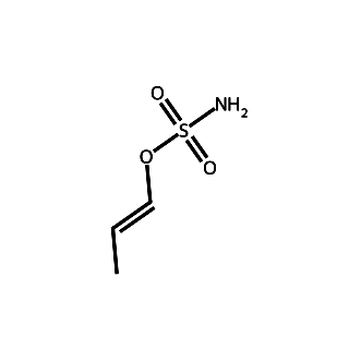 CC=COS(N)(=O)=O